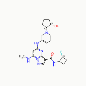 CNc1cc(NC2=CC=CN([C@@H]3CCC[C@@H]3O)C2)nc2c(C(=O)NC3CC[C@@H]3F)cnn12